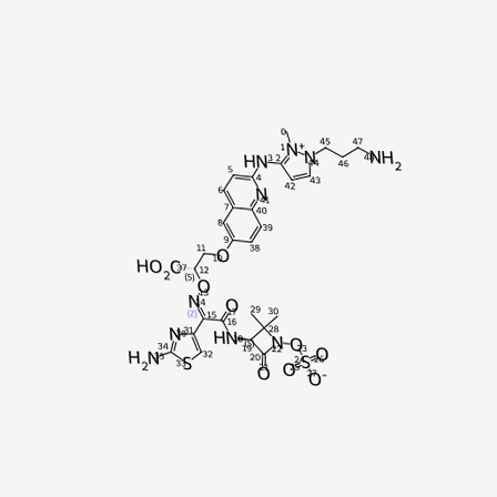 C[n+]1c(Nc2ccc3cc(OC[C@H](O/N=C(\C(=O)N[C@@H]4C(=O)N(OS(=O)(=O)[O-])C4(C)C)c4csc(N)n4)C(=O)O)ccc3n2)ccn1CCCN